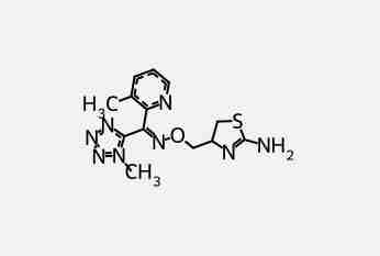 Cc1cccnc1/C(=N\OCC1CSC(N)=N1)c1nnnn1C